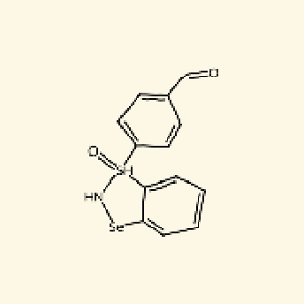 O=Cc1ccc([SH]2(=O)N[Se]c3ccccc32)cc1